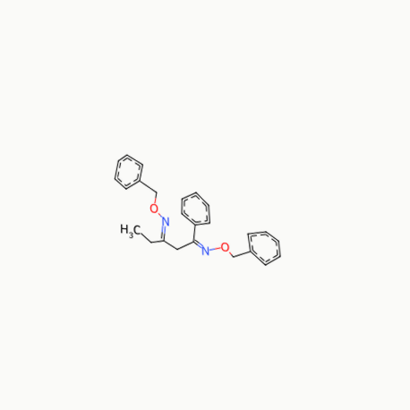 CCC(CC(=NOCc1ccccc1)c1ccccc1)=NOCc1ccccc1